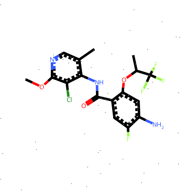 COc1ncc(C)c(NC(=O)c2cc(F)c(N)cc2OC(C)C(F)(F)F)c1Cl